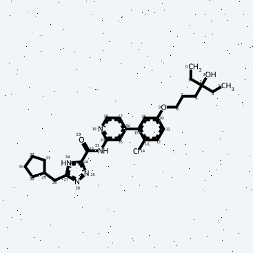 CCC(O)(CC)CCCOc1ccc(Cl)c(-c2ccnc(NC(=O)c3nnc(CC4CCCC4)[nH]3)c2)c1